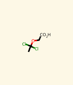 CC(Cl)(Cl)OCC(=O)O